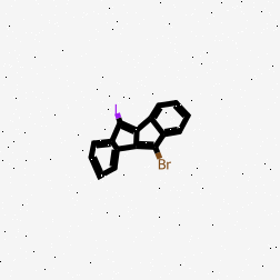 BrC1=C2C(=C(I)c3ccccc32)c2ccccc21